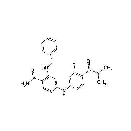 CN(C)C(=O)c1ccc(Nc2cc(NCc3ccccc3)c(C(N)=O)cn2)cc1F